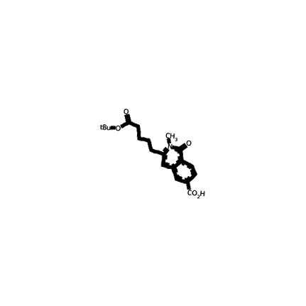 Cn1c(CCCCC(=O)OC(C)(C)C)cc2cc(C(=O)O)ccc2c1=O